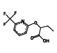 CCC(Oc1cccc(C(F)(F)F)n1)C(=O)O